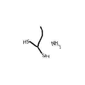 CCC(S)S.N